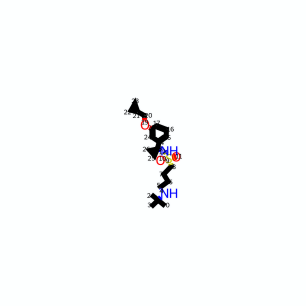 CC(C)(C)NCCCCS(=O)(=O)NC1(c2cccc(OCC3CC3)c2)CC1